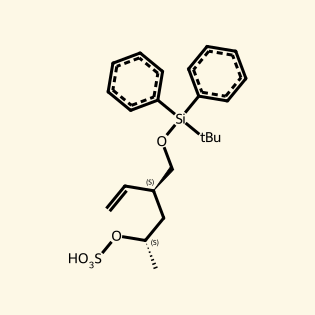 C=C[C@@H](CO[Si](c1ccccc1)(c1ccccc1)C(C)(C)C)C[C@H](C)OS(=O)(=O)O